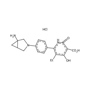 CCc1c(-c2ccc(N3CC4CC4(N)C3)cc2)[nH]c(=O)c(C(=O)O)c1O.Cl